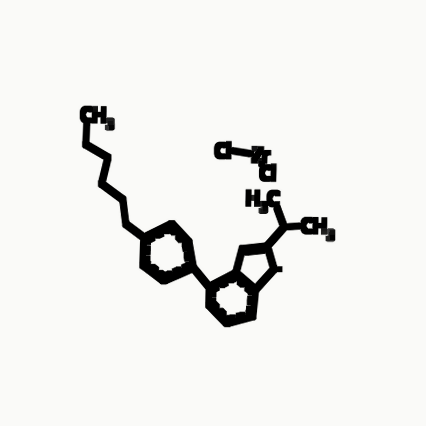 CCCCCCc1ccc(-c2cccc3c2C=C(C(C)C)[CH]3)cc1.[Cl][Zr][Cl]